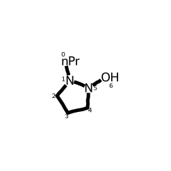 CCCN1CCCN1O